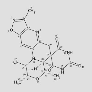 Cc1noc2cc3c(nc12)CC1(C(=O)NC(=O)NC1=O)[C@H]1[C@H](C)O[C@H](C)C(Cl)N31